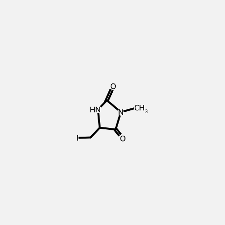 CN1C(=O)NC(CI)C1=O